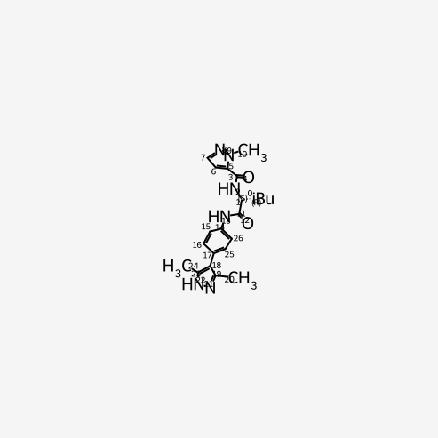 CC[C@@H](C)[C@H](NC(=O)c1ccnn1C)C(=O)Nc1ccc(-c2c(C)n[nH]c2C)cc1